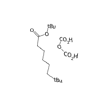 CC(C)(C)CCCCCC(=O)OC(C)(C)C.O=C(O)OC(=O)O